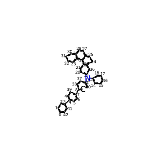 c1ccc(-c2ccc(-c3ccc(N(c4ccccc4)c4ccc5c(ccc6ccc7ccccc7c65)c4)cc3)cc2)cc1